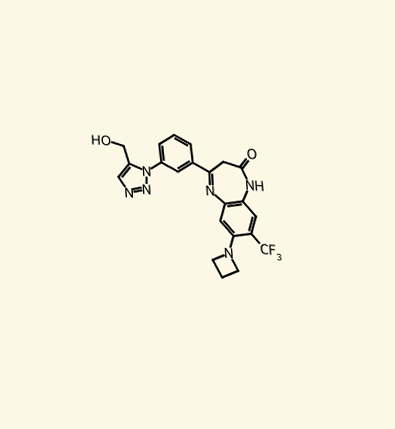 O=C1CC(c2cccc(-n3nncc3CO)c2)=Nc2cc(N3CCC3)c(C(F)(F)F)cc2N1